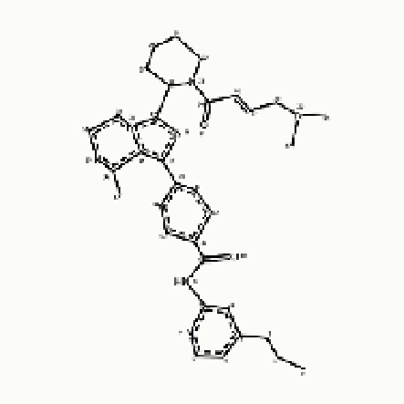 CCCc1ccnc(NC(=O)c2ccc(-c3nc(C4CCCCN4C(=O)/C=C/CN(C)C)n4ccnc(C)c34)cc2)c1